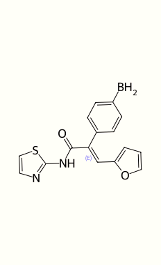 Bc1ccc(/C(=C\c2ccco2)C(=O)Nc2nccs2)cc1